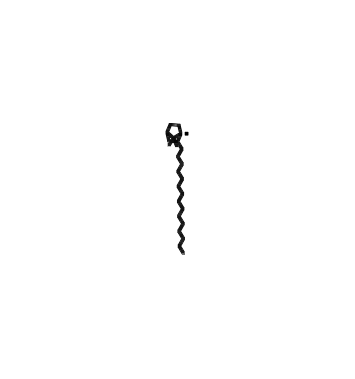 CCCCCCCCCCCCCCCC1CC2CC[C]1C2(C)C